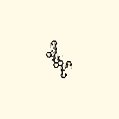 O=C1c2cccc3c(N(Cc4ccccn4)Cc4ccccn4)ccc(c23)C(=O)N1CCN(Cc1ccccn1)Cc1ccccn1